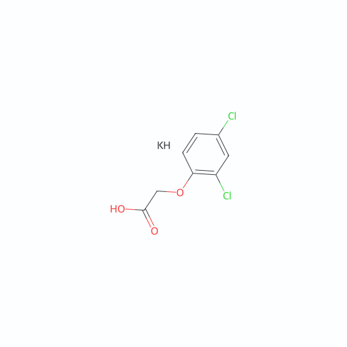 O=C(O)COc1ccc(Cl)cc1Cl.[KH]